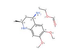 CCOC=O.COc1cc2c(cc1OC)[C@H](N)C[C@H](C)N2